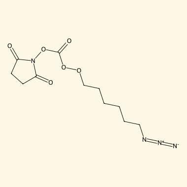 [N-]=[N+]=NCCCCCCOOC(=O)ON1C(=O)CCC1=O